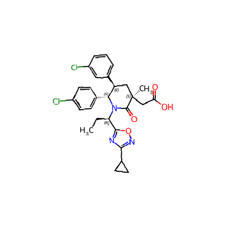 CC[C@H](c1nc(C2CC2)no1)N1C(=O)[C@](C)(CC(=O)O)C[C@H](c2cccc(Cl)c2)[C@H]1c1ccc(Cl)cc1